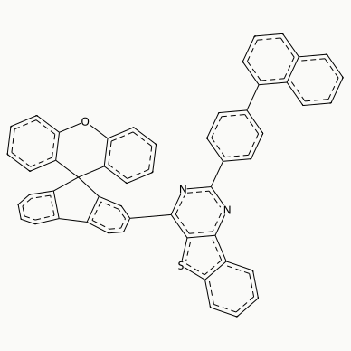 c1ccc2c(c1)Oc1ccccc1C21c2ccccc2-c2ccc(-c3nc(-c4ccc(-c5cccc6ccccc56)cc4)nc4c3sc3ccccc34)cc21